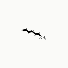 [C]=CC=CC=CC